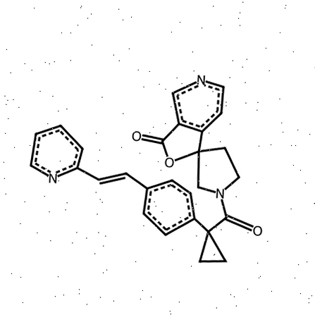 O=C1OC2(CCN(C(=O)C3(c4ccc(C=Cc5ccccn5)cc4)CC3)C2)c2ccncc21